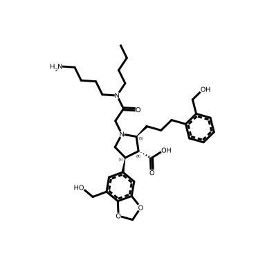 CCCCN(CCCCN)C(=O)CN1C[C@H](c2cc(CO)c3c(c2)OCO3)[C@@H](C(=O)O)[C@@H]1CCCc1ccccc1CO